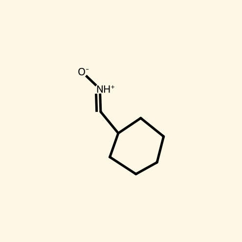 [O-][NH+]=CC1CCCCC1